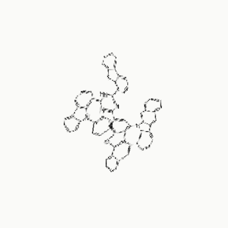 c1ccc(-n2c3ccccc3c3cccc(C4N=C(c5cc(-n6c7ccccc7c7cc8ccccc8cc76)c6c(c5)oc5c7ccccc7ccc56)N=C(c5cccc6c5sc5ccccc56)N4)c32)cc1